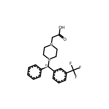 O=C(O)CN1CCN([C@H](c2ccccc2)c2cccc(C(F)(F)F)c2)CC1